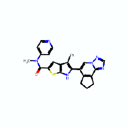 CC(C)c1c(-c2cn3ncnc3c3c2CCC3)[nH]c2sc(C(=O)N(C)c3ccncc3)cc12